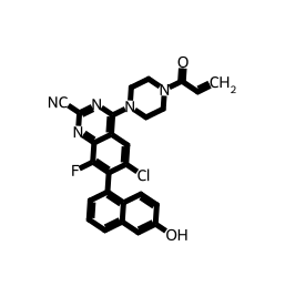 C=CC(=O)N1CCN(c2nc(C#N)nc3c(F)c(-c4cccc5cc(O)ccc45)c(Cl)cc23)CC1